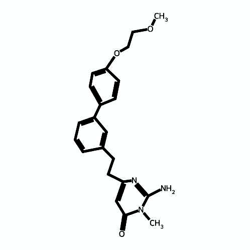 COCCOc1ccc(-c2cccc(CCc3cc(=O)n(C)c(N)n3)c2)cc1